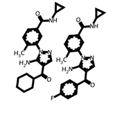 Cc1ccc(C(=O)NC2CC2)cc1-n1ncc(C(=O)C2CCCCC2)c1N.Cc1ccc(C(=O)NC2CC2)cc1-n1ncc(C(=O)c2ccc(F)cc2)c1N